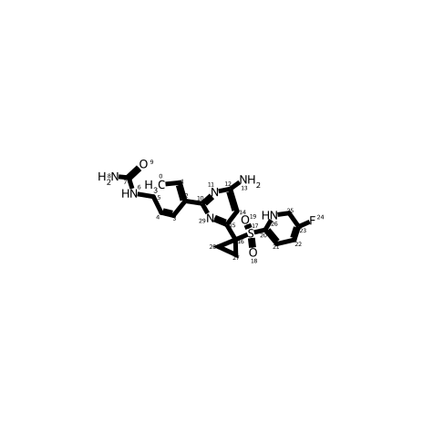 C/C=C(\C=C/CNC(N)=O)c1nc(N)cc(C2(S(=O)(=O)C3=CC=C(F)CN3)CC2)n1